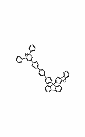 c1ccc(-c2cc(-c3ccc(-c4ccc(-c5ccc6c(c5)-c5cc7c(cc5C65c6ccccc6-c6ccccc65)oc5ccccc57)cc4)cc3)nc(-c3ccccc3)n2)cc1